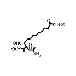 CCCCCCCC(=O)CCCCCC/C=C/[C@H](C=O)[C@@](O)(CC(N)=O)C(=O)OC(C)(C)C